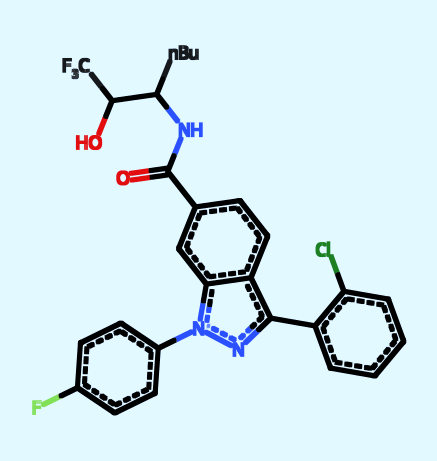 CCCCC(NC(=O)c1ccc2c(-c3ccccc3Cl)nn(-c3ccc(F)cc3)c2c1)C(O)C(F)(F)F